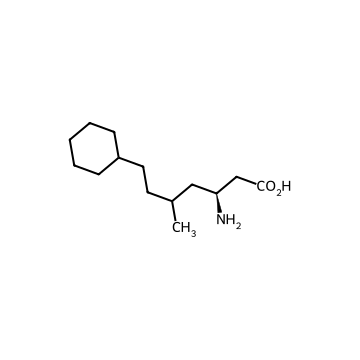 CC(CCC1CCCCC1)C[C@H](N)CC(=O)O